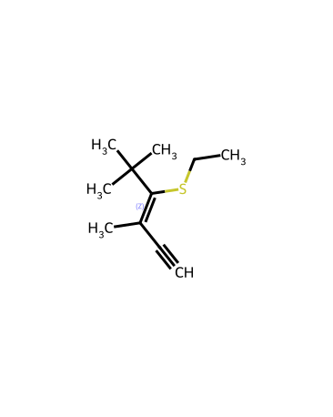 C#C/C(C)=C(\SCC)C(C)(C)C